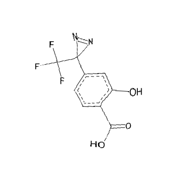 O=C(O)c1ccc(C2(C(F)(F)F)N=N2)cc1O